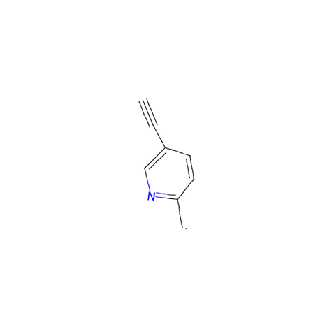 C#Cc1ccc([CH2])nc1